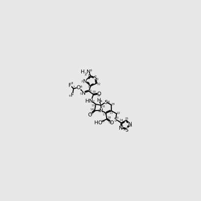 Nc1nc(C(=NOC(F)F)C(=O)NC2C(=O)N3C(C(=O)O)=C(CSc4cnsn4)CS[C@@H]23)cs1